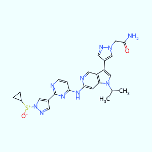 CC(C)n1cc(-c2cnn(CC(N)=O)c2)c2cnc(Nc3ccnc(-c4cnn([S+]([O-])C5CC5)c4)n3)cc21